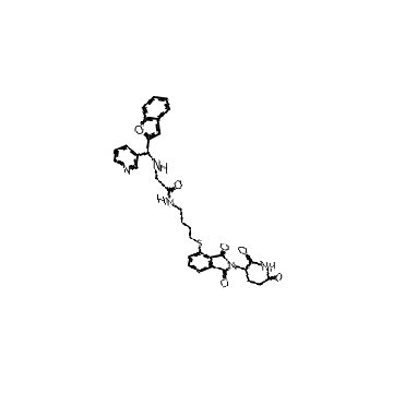 O=C(CNC(c1cccnc1)c1cc2ccccc2o1)NCCCCSc1cccc2c1C(=O)N(C1CCC(=O)NC1=O)C2=O